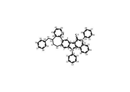 S=c1c2c3cc4c(cc3n(-c3ccccc3)c2c2ccccc2n1-c1ccccc1)CCC(Cc1ccccc1)c1cccnc1-4